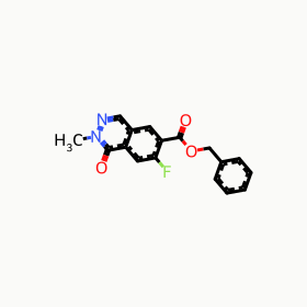 Cn1ncc2cc(C(=O)OCc3ccccc3)c(F)cc2c1=O